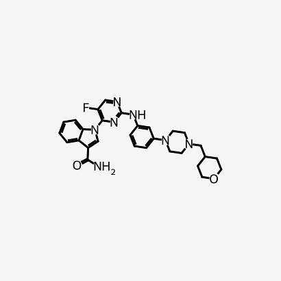 NC(=O)c1cn(-c2nc(Nc3cccc(N4CCN(CC5CCOCC5)CC4)c3)ncc2F)c2ccccc12